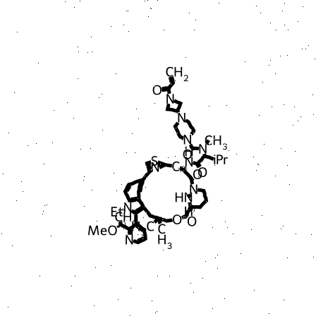 C=CC(=O)N1CC(N2CCN(C(=O)N(C)C(C(=O)N[C@H]3Cc4nc(cs4)-c4ccc5c(c4)c(c(-c4cccnc4[C@H](C)OC)n5CC)CC(C)(C)COC(=O)[C@@H]4CCCN(N4)C3=O)C(C)C)CC2)C1